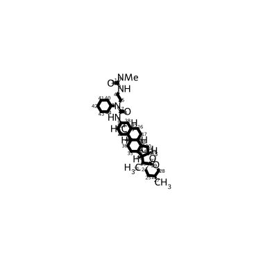 CNC(=O)NCCN(C(=O)N[C@@H]1CC[C@@]2(C)[C@H](CC[C@H]3C4C[C@@H]5O[C@]6(CC[C@H](C)CO6)[C@@H](C)[C@@H]5[C@@]4(C)CC[C@@H]32)C1)C1CCCCC1